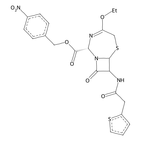 CCOC1=N[C@@H](C(=O)OCc2ccc([N+](=O)[O-])cc2)N2C(=O)C(NC(=O)Cc3cccs3)C2SC1